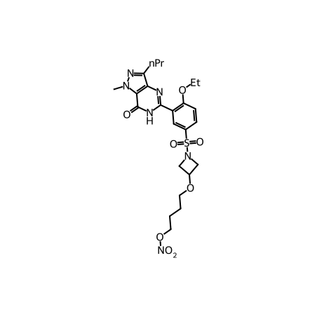 CCCc1nn(C)c2c(=O)[nH]c(-c3cc(S(=O)(=O)N4CC(OCCCCO[N+](=O)[O-])C4)ccc3OCC)nc12